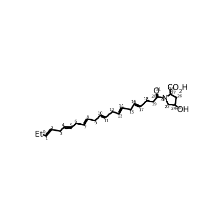 CCC=CCC=CCC=CCC=CCC=CCC=CCCC(=O)N1CC(O)CC1C(=O)O